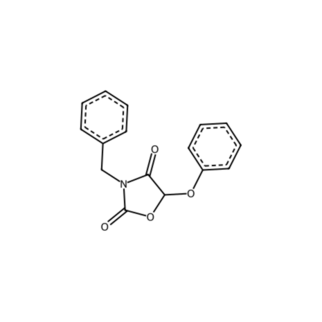 O=C1OC(Oc2ccccc2)C(=O)N1Cc1ccccc1